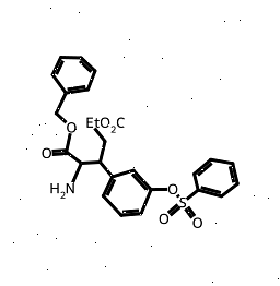 CCOC(=O)CC(c1cccc(OS(=O)(=O)c2ccccc2)c1)C(N)C(=O)OCc1ccccc1